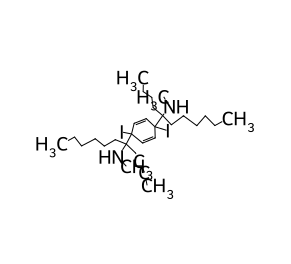 CCCCCCC(CCCC)(NC)C1(I)C=CC(I)(C(CCCC)(CCCCCC)NC)C=C1